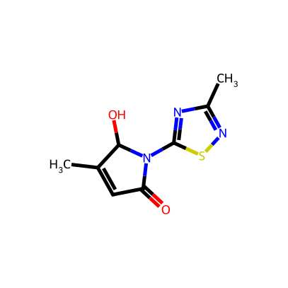 CC1=CC(=O)N(c2nc(C)ns2)C1O